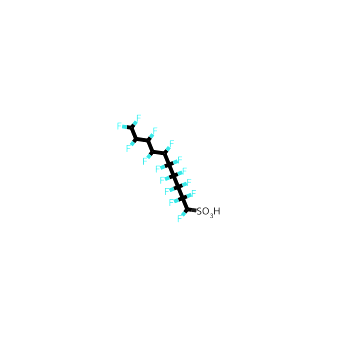 O=S(=O)(O)C(F)C(F)(F)C(F)(F)C(F)(F)C(F)(F)C(F)C(F)C(F)C(F)C(F)F